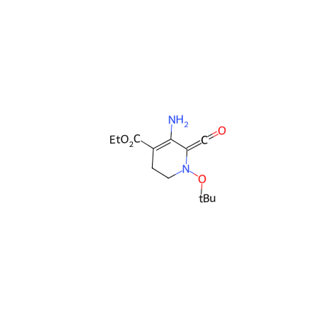 CCOC(=O)C1=C(N)C(=C=O)N(OC(C)(C)C)CC1